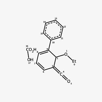 CCOC1C(=C=O)C=CC=C1c1ccccc1.O=C(O)O